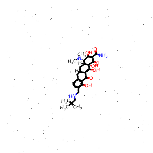 CN(C)[C@@H]1C(O)=C(C(N)=O)C(=O)[C@@]2(O)C(O)=C3C(=O)c4c(ccc(CNCC(C)(C)C)c4O)C[C@@H]3C[C@H]12